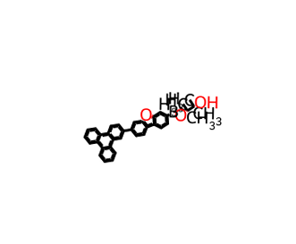 CC(C)(O)C(C)(C)OBc1ccc2c(c1)oc1cc(-c3ccc4c5ccccc5c5ccccc5c4c3)ccc12